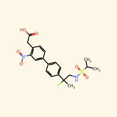 CC(C)S(=O)(=O)NCC(C)(F)c1ccc(-c2ccc(CC(=O)O)c([N+](=O)[O-])c2)cc1